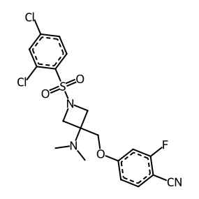 CN(C)C1(COc2ccc(C#N)c(F)c2)CN(S(=O)(=O)c2ccc(Cl)cc2Cl)C1